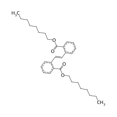 CCCCCCCCOC(=O)c1ccccc1/C=C/c1ccccc1C(=O)OCCCCCCCC